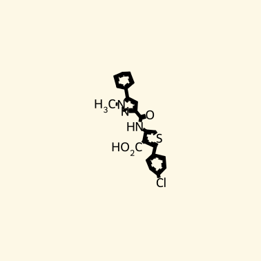 Cn1nc(C(=O)Nc2csc(-c3ccc(Cl)cc3)c2C(=O)O)cc1-c1ccccc1